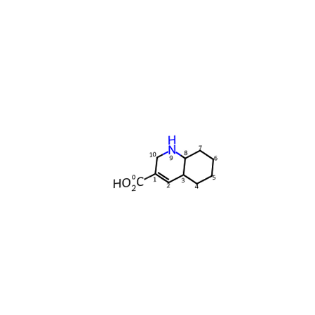 O=C(O)C1=CC2CCCCC2NC1